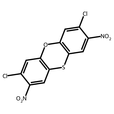 O=[N+]([O-])c1cc2c(cc1Cl)Oc1cc(Cl)c([N+](=O)[O-])cc1S2